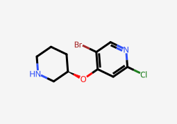 Clc1cc(O[C@@H]2CCCNC2)c(Br)cn1